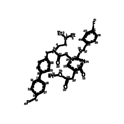 CCN(CC)CCN(Cc1ccc(-c2ccc(CF)cc2)cc1)C(=O)Cn1cc(CC(=O)OC(C)C)c(=O)nc1SCc1ccc(F)cc1